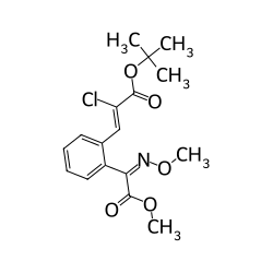 CON=C(C(=O)OC)c1ccccc1C=C(Cl)C(=O)OC(C)(C)C